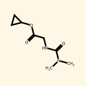 CN(C)C(=O)NCC(=O)OC1CC1